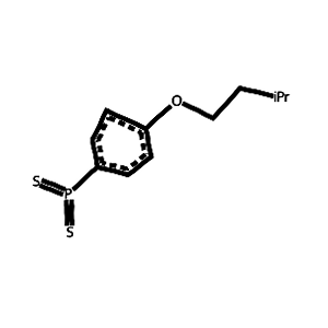 CC(C)CCOc1ccc(P(=S)=S)cc1